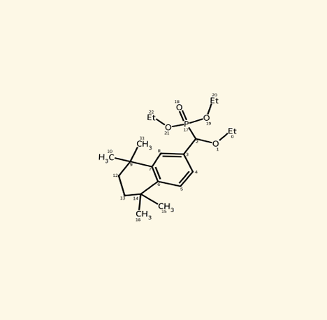 CCOC(c1ccc2c(c1)C(C)(C)CCC2(C)C)P(=O)(OCC)OCC